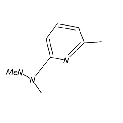 CNN(C)c1cccc(C)n1